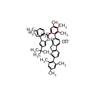 CCCC1C=C(C(C)(C)C)C=[C]1[Zr+2](=[C](c1ccc(C)cc1)c1ccc(C)cc1)[c]1c(-c2c(C)cc(C)cc2C)ccc2c1Cc1cc(-c3c(C)cc(C)cc3C)ccc1-2.[Cl-].[Cl-]